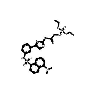 CCOP(=O)(NCC(=O)Nc1nc(-c2cccc(NS(=O)(=O)c3cccc4c(N(C)C)cccc34)c2)cs1)OCC